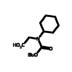 CC(C)COC(=O)N(CC(=O)O)C1CCCCC1